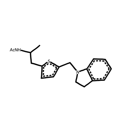 CC(=O)NC(C)Cc1ccc(CN2CCc3ccccc32)s1